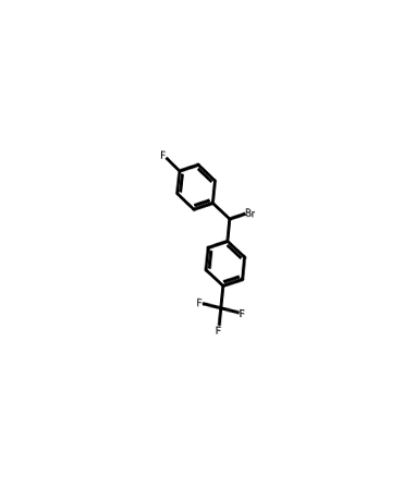 Fc1ccc(C(Br)c2ccc(C(F)(F)F)cc2)cc1